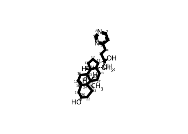 CC(O)(CCc1ccncn1)[C@H]1CC[C@H]2[C@@H]3CC=C4C[C@@H](O)CC[C@]4(C)[C@H]3CC[C@]12C